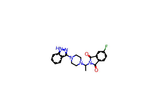 CC(N1CCN(c2n[nH]c3ccccc23)CC1)N1C(=O)c2ccc(F)cc2C1=O